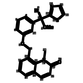 CCC(OC)(c1cccc(OCc2cccc3ccc(=O)n(C)c23)c1)c1nccs1